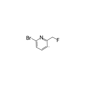 FCc1[c]ccc(Br)n1